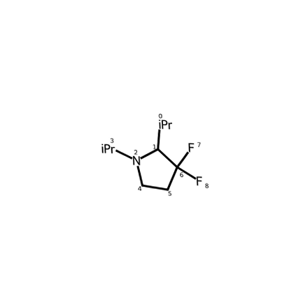 CC(C)C1N(C(C)C)CCC1(F)F